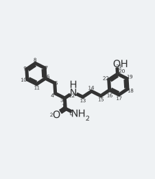 NC(=O)C(CCc1ccccc1)NCCCc1cccc(O)c1